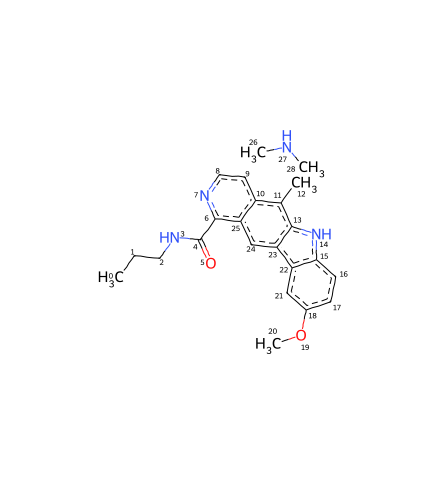 CCCNC(=O)c1nccc2c(C)c3[nH]c4ccc(OC)cc4c3cc12.CNC